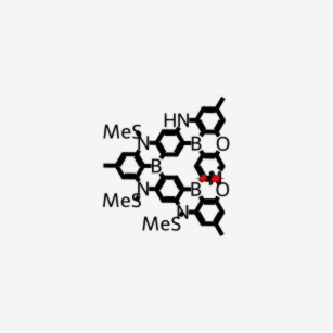 CSN1c2cc3c(cc2B2c4ccncc4Oc4cc(C)cc1c42)B1c2cc4c(cc2N(SC)c2cc(C)cc(c21)N3SC)Nc1cc(C)cc2c1B4c1ccncc1O2